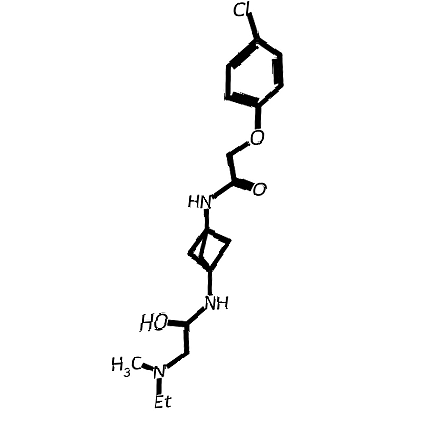 CCN(C)CC(O)NC12CC(NC(=O)COc3ccc(Cl)cc3)(C1)C2